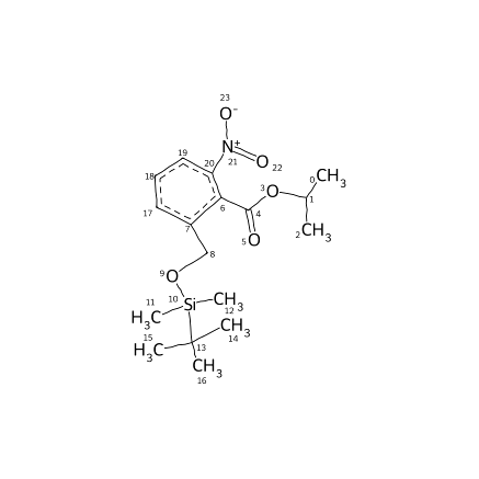 CC(C)OC(=O)c1c(CO[Si](C)(C)C(C)(C)C)cccc1[N+](=O)[O-]